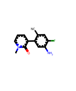 Cn1cccc(-c2cc(N)c(F)cc2C#N)c1=O